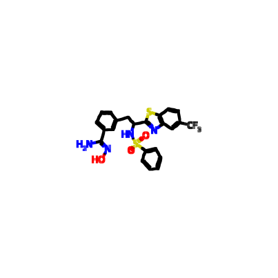 NC(=NO)c1cccc(CC(NS(=O)(=O)c2ccccc2)c2nc3cc(C(F)(F)F)ccc3s2)c1